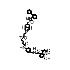 CN(CCCC(=O)Nc1ccc(CNC[C@H](O)c2ccc(O)c3[nH]c(=O)ccc23)cc1)C(=O)CCN1C[C@H]2C[C@@H](OC(=O)Nc3ccccc3-c3ccccc3)C[C@H]2C1